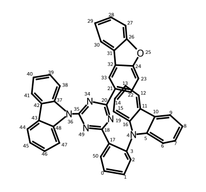 c1ccc(-n2c3ccccc3c3ccccc32)c(-c2nc(-c3ccc4oc5ccccc5c4c3)nc(-n3c4ccccc4c4ccccc43)n2)c1